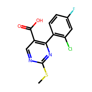 CSc1ncc(C(=O)O)c(-c2ccc(F)cc2Cl)n1